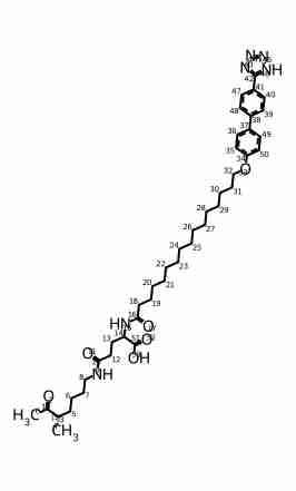 CC(=O)[C@@H](C)CCCCNC(=O)CCC(NC(=O)CCCCCCCCCCCCCCCOc1ccc(-c2ccc(-c3nnn[nH]3)cc2)cc1)C(=O)O